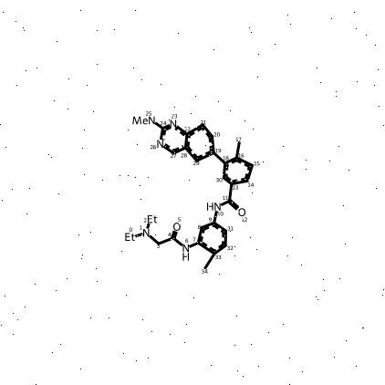 CCN(CC)CC(=O)Nc1cc(NC(=O)c2ccc(C)c(-c3ccc4nc(NC)ncc4c3)c2)ccc1C